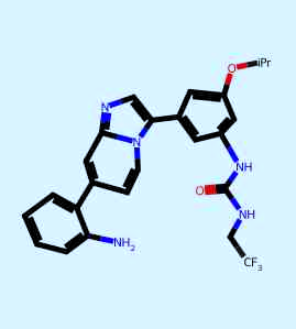 CC(C)Oc1cc(NC(=O)NCC(F)(F)F)cc(-c2cnc3cc(-c4ccccc4N)ccn23)c1